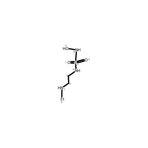 CCNCCNS(=O)(=O)NO